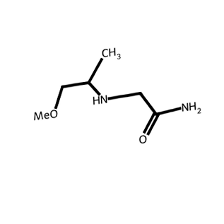 COCC(C)NCC(N)=O